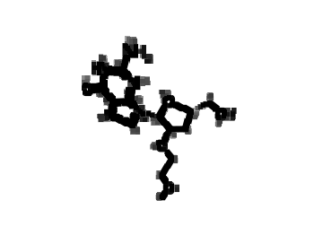 COCCO[C@@H]1C[C@@H](CO)O[C@H]1n1cnc2c(=O)[nH]c(N)nc21